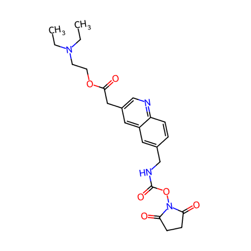 CCN(CC)CCOC(=O)Cc1cnc2ccc(CNC(=O)ON3C(=O)CCC3=O)cc2c1